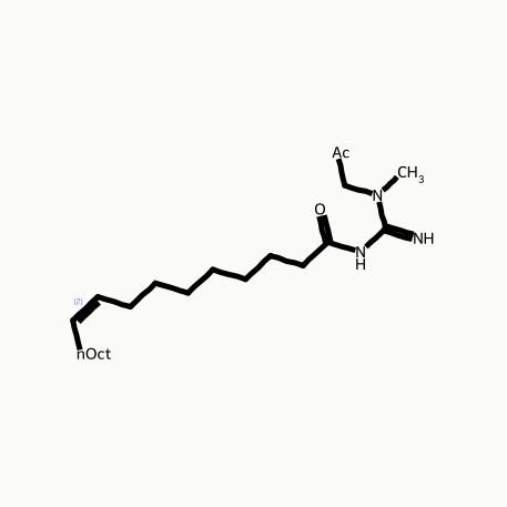 CCCCCCCC/C=C\CCCCCCCC(=O)NC(=N)N(C)CC(C)=O